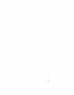 C=CCOC/C=N/O